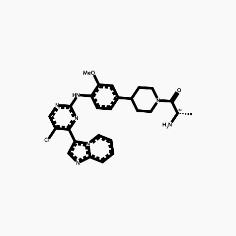 COc1cc(C2CCN(C(=O)[C@H](C)N)CC2)ccc1Nc1ncc(Cl)c(-c2cnc3ccccn23)n1